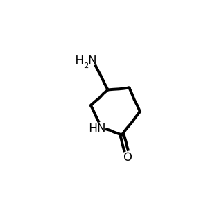 NC1CCC(=O)NC1